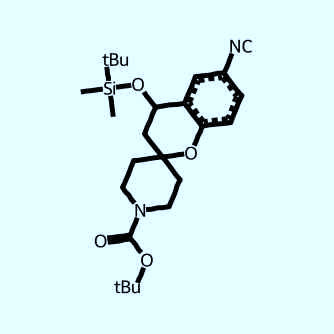 [C-]#[N+]c1ccc2c(c1)C(O[Si](C)(C)C(C)(C)C)CC1(CCN(C(=O)OC(C)(C)C)CC1)O2